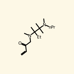 C=CC(=O)CN(C)C(C)(CC)C(C)(C)N(C)CCC